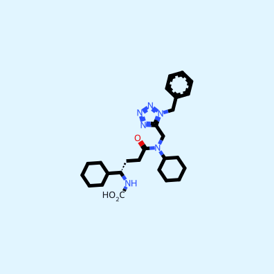 O=C(O)N[C@@H](CCC(=O)N(Cc1nnnn1Cc1ccccc1)C1CCCCC1)C1CCCCC1